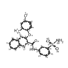 Cc1cc(Cl)ccc1Oc1nc2ccccc2nc1C(=O)Nc1cccc(S(N)(=O)=O)c1